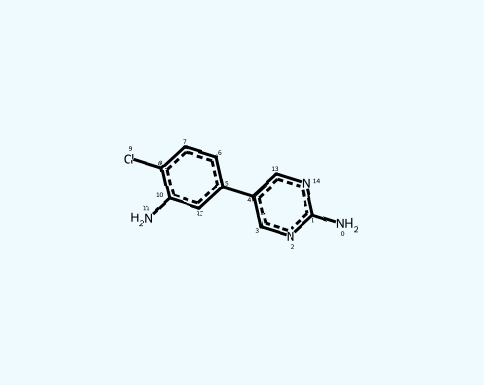 Nc1ncc(-c2ccc(Cl)c(N)c2)cn1